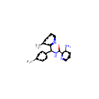 Nc1cccnc1C(=O)NC(c1ccc(C(F)(F)F)cc1)c1ncccc1C(F)(F)F